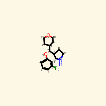 Fc1cccc(O[C@H](C2CCOCC2)C2CCNC2)c1